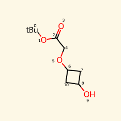 CC(C)(C)OC(=O)COC1CC(O)C1